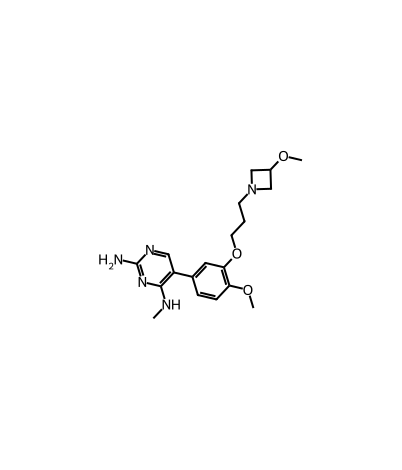 CNc1nc(N)ncc1-c1ccc(OC)c(OCCCN2CC(OC)C2)c1